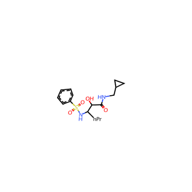 CCCC(NS(=O)(=O)c1ccccc1)C(O)C(=O)NCC1CC1